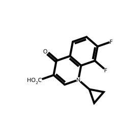 O=C(O)c1cn(C2CC2)c2c(F)c(F)ccc2c1=O